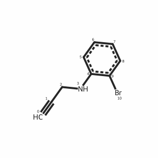 C#CCNc1ccccc1Br